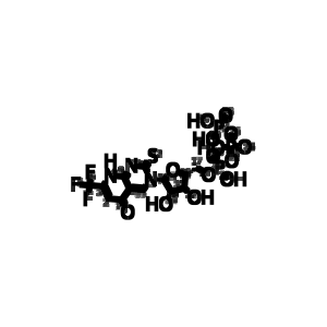 O=c1cc(C(F)(F)F)[nH]c2nc(=S)n([C@@H]3O[C@H](COP(=O)(O)OP(=O)(O)OP(=O)(O)O)C(O)[C@@H]3O)cc12